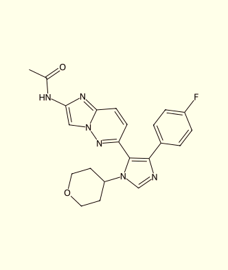 CC(=O)Nc1cn2nc(-c3c(-c4ccc(F)cc4)ncn3C3CCOCC3)ccc2n1